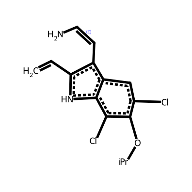 C=Cc1[nH]c2c(Cl)c(OC(C)C)c(Cl)cc2c1/C=C\N